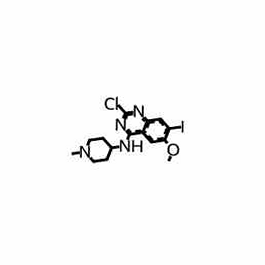 COc1cc2c(NC3CCN(C)CC3)nc(Cl)nc2cc1I